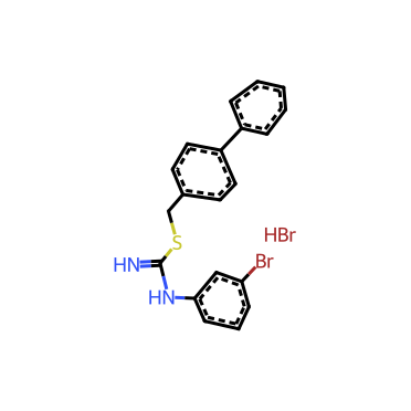 Br.N=C(Nc1cccc(Br)c1)SCc1ccc(-c2ccccc2)cc1